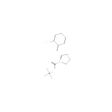 CC(C)(C)OC(=O)N1CCC[C@H]1CC1CCCCC1O